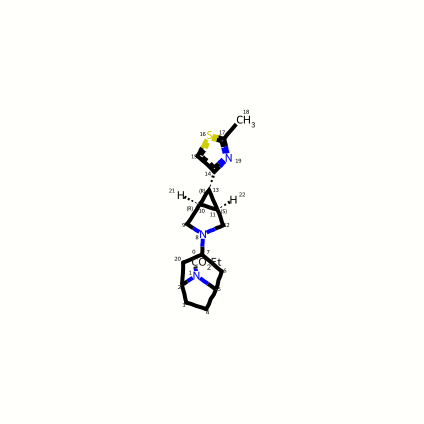 CCOC(=O)N1C2CCC1CC(N1C[C@@H]3[C@H](C1)[C@H]3c1csc(C)n1)C2